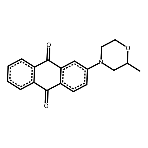 CC1CN(c2ccc3c(c2)C(=O)c2ccccc2C3=O)CCO1